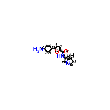 Nc1ccc(-c2ccc(C(=O)N[C@@H]3C[C@H]4CCN(C4)C3)o2)cc1